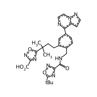 CC(C)(C)c1nc(C(=O)NCc2ccc(-c3nccn4nccc34)cc2CCC(C)(C)c2nc(C(=O)O)no2)no1